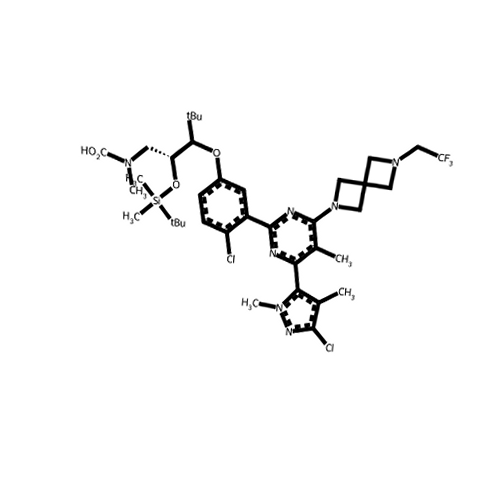 Cc1c(-c2c(C)c(Cl)nn2C)nc(-c2cc(OC([C@@H](CN(C)C(=O)O)O[Si](C)(C)C(C)(C)C)C(C)(C)C)ccc2Cl)nc1N1CC2(CN(CC(F)(F)F)C2)C1